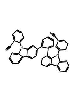 N#CC1=CCCC(n2c3c(c4ccccc42)=CCCC=3c2ccccc2-c2ccc3c4ccccc4n(-c4ccccc4C#N)c3c2)=C1